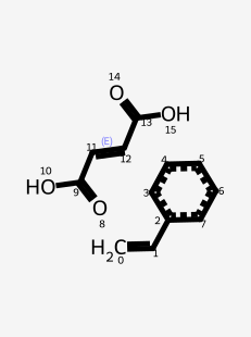 C=Cc1ccccc1.O=C(O)/C=C/C(=O)O